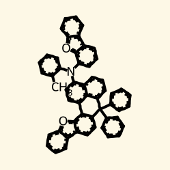 Cc1ccccc1N(c1ccc2c3c(cccc13)C(c1ccccc1)(c1ccccc1)c1ccc3c(oc4ccccc43)c1-2)c1cccc2c1oc1ccccc12